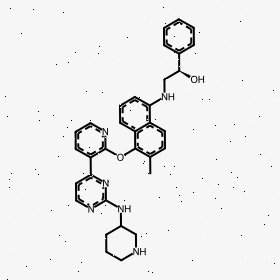 Cc1ccc2c(NC[C@H](O)c3ccccc3)cccc2c1Oc1ncccc1-c1ccnc(NC2CCCNC2)n1